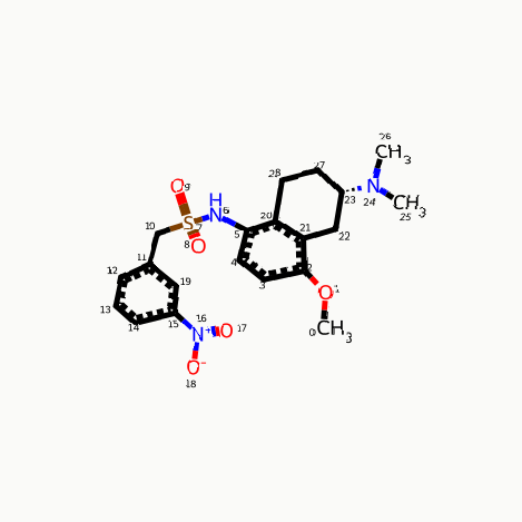 COc1ccc(NS(=O)(=O)Cc2cccc([N+](=O)[O-])c2)c2c1C[C@@H](N(C)C)CC2